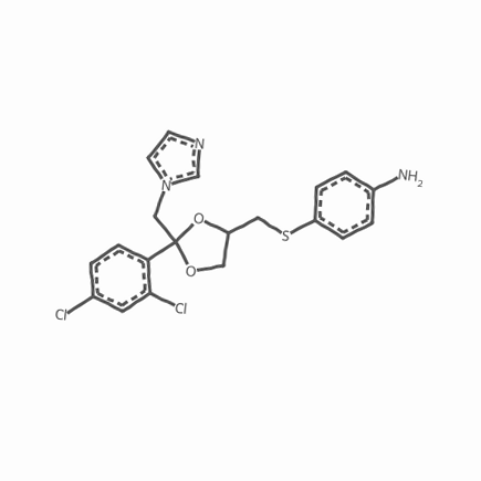 Nc1ccc(SCC2COC(Cn3ccnc3)(c3ccc(Cl)cc3Cl)O2)cc1